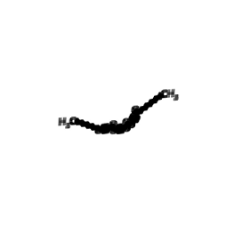 CCCCCCCCCCCC(=O)N1CCC(OC(=O)Oc2ccc(OC(=O)c3ccc(OCCCCCCCCCC)cc3)cc2)CC1